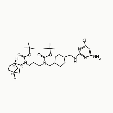 CC(C)(C)OC(=O)N(CCCN(C(=O)OC(C)(C)C)[C@H]1C[C@@H]2CC[C@H]1C2)CC1CCC(CNc2nc(N)cc(Cl)n2)CC1